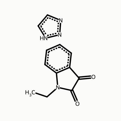 CCN1C(=O)C(=O)c2ccccc21.c1c[nH]nn1